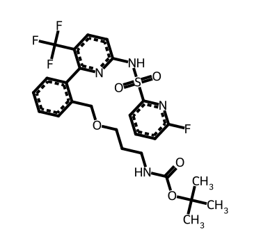 CC(C)(C)OC(=O)NCCCOCc1ccccc1-c1nc(NS(=O)(=O)c2cccc(F)n2)ccc1C(F)(F)F